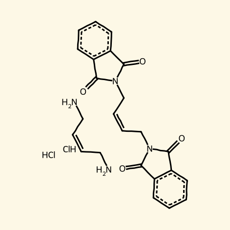 Cl.Cl.NC/C=C\CN.O=C1c2ccccc2C(=O)N1C/C=C\CN1C(=O)c2ccccc2C1=O